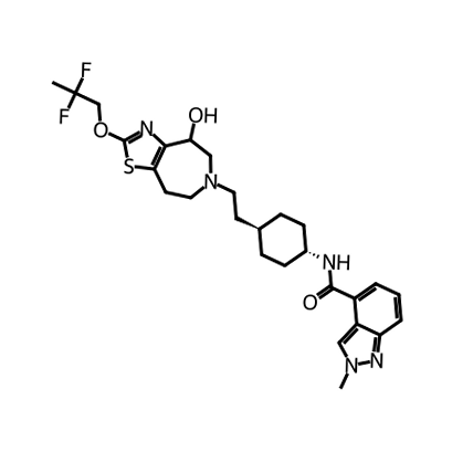 Cn1cc2c(C(=O)N[C@H]3CC[C@H](CCN4CCc5sc(OCC(C)(F)F)nc5C(O)C4)CC3)cccc2n1